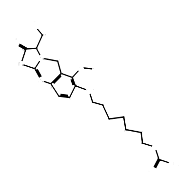 COc1c(OCCCCCCCOC(C)=O)ccc2c1CN1C(=N2)NC(=O)C1CO